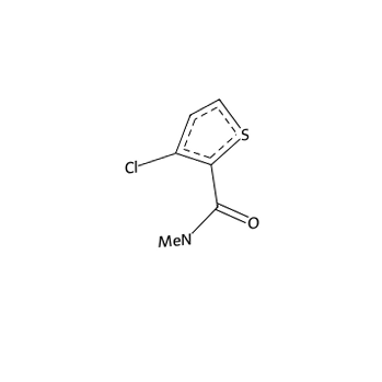 CNC(=O)c1sccc1Cl